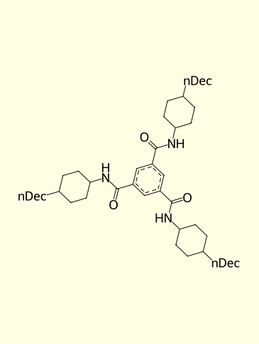 CCCCCCCCCCC1CCC(NC(=O)c2cc(C(=O)NC3CCC(CCCCCCCCCC)CC3)cc(C(=O)NC3CCC(CCCCCCCCCC)CC3)c2)CC1